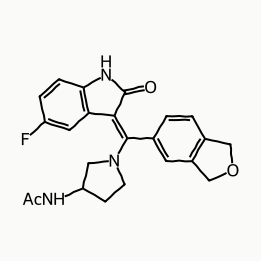 CC(=O)NC1CCN(C(=C2C(=O)Nc3ccc(F)cc32)c2ccc3c(c2)COC3)C1